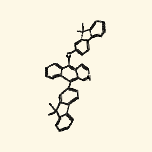 CC1(C)c2ccccc2-c2ccc(Oc3c4ccccc4c(-c4ccc5c(c4)C(C)(C)c4ccccc4-5)c4cnccc34)cc21